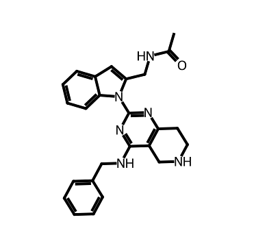 CC(=O)NCc1cc2ccccc2n1-c1nc2c(c(NCc3ccccc3)n1)CNCC2